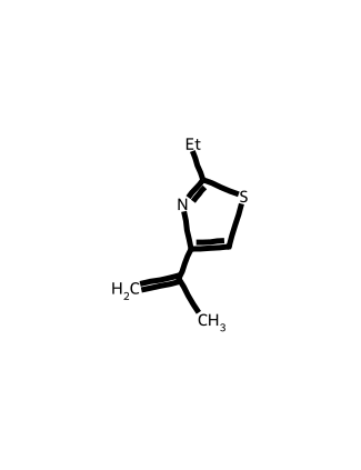 C=C(C)c1csc(CC)n1